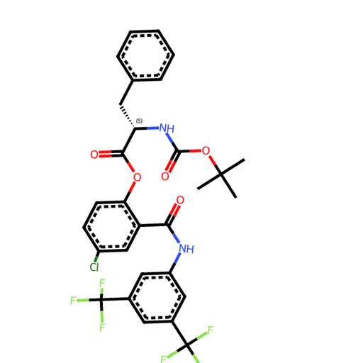 CC(C)(C)OC(=O)N[C@@H](Cc1ccccc1)C(=O)Oc1ccc(Cl)cc1C(=O)Nc1cc(C(F)(F)F)cc(C(F)(F)F)c1